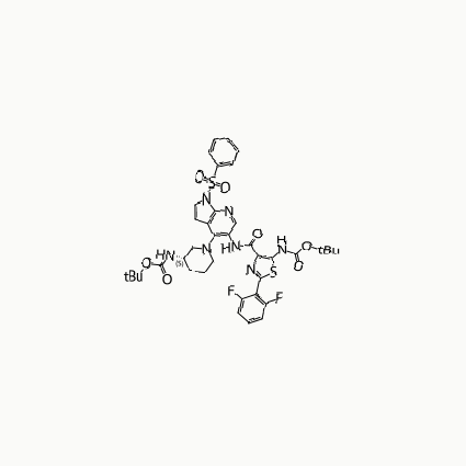 CC(C)(C)OC(=O)Nc1sc(-c2c(F)cccc2F)nc1C(=O)Nc1cnc2c(ccn2S(=O)(=O)c2ccccc2)c1N1CCC[C@H](NC(=O)OC(C)(C)C)C1